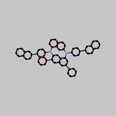 c1ccc(-c2cc(N(c3ccccc3)c3ccc(-c4ccc5ccccc5c4)cc3)c3cc(N(c4ccccc4)c4ccc(-c5ccc6ccccc6c5)cc4)c(-c4ccccc4)cc3c2)cc1